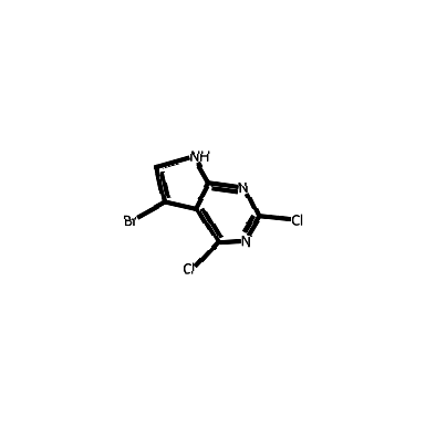 Clc1nc(Cl)c2c(Br)c[nH]c2n1